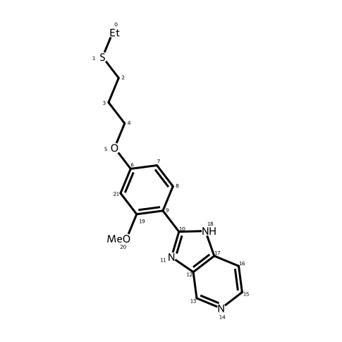 CCSCCCOc1ccc(-c2nc3cnccc3[nH]2)c(OC)c1